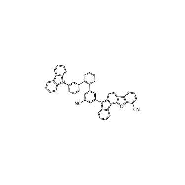 N#Cc1cc(-c2ccccc2-c2cccc(-n3c4ccccc4c4ccccc43)c2)cc(-n2c3ccccc3c3c4oc5c(C#N)cccc5c4ccc32)c1